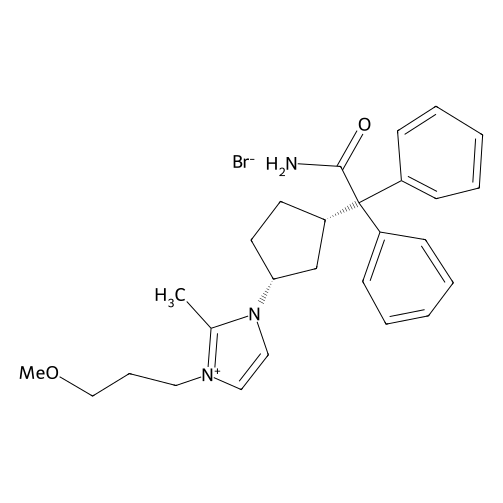 COCCC[n+]1ccn([C@@H]2CC[C@H](C(C(N)=O)(c3ccccc3)c3ccccc3)C2)c1C.[Br-]